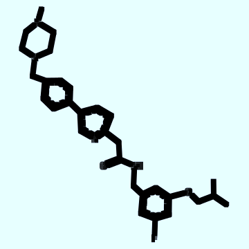 CC(C)COc1cc(F)cc(CNC(=O)Cc2ccc(-c3ccc(CN4CCN(C)CC4)cc3)cn2)c1